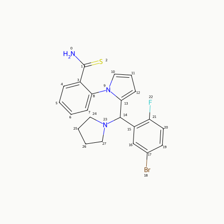 NC(=S)c1ccccc1-n1cccc1C(c1cc(Br)ccc1F)N1CCCC1